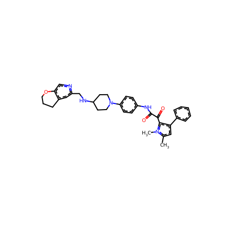 Cc1cc(-c2ccccc2)c(C(=O)C(=O)Nc2ccc(N3CCC(NCc4cc5c(cn4)OCCC5)CC3)cc2)n1C